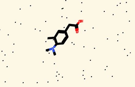 CC1C=C(CC(=O)O)C=CC1N(C)C